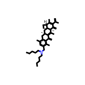 C=C(C)C1=C(C)[C@H]2CC[C@]23C[C@]2(C)Cc4c(C)cc(CN(CCCCC)CCCCC)c(C)c4C(=C)C2=C(C)[C@]3(C)C1=C